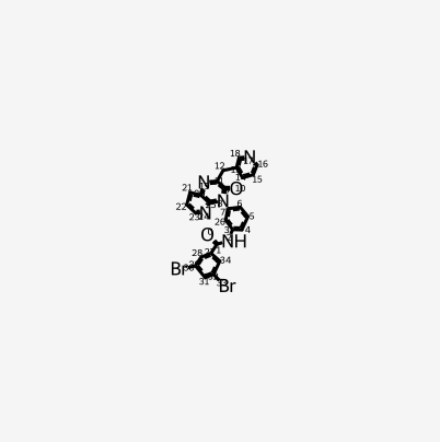 O=C(Nc1cccc(-n2c(=O)c(Cc3cccnc3)nc3cccnc32)c1)c1cc(Br)cc(Br)c1